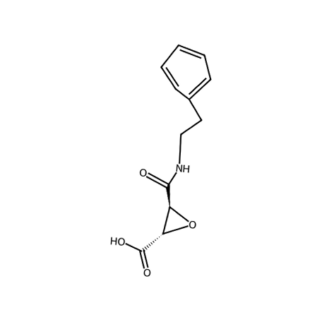 O=C(O)[C@H]1O[C@@H]1C(=O)NCCc1ccccc1